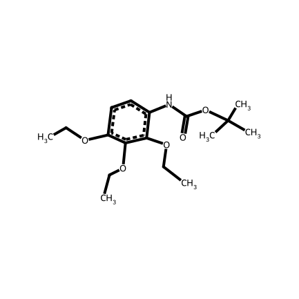 CCOc1ccc(NC(=O)OC(C)(C)C)c(OCC)c1OCC